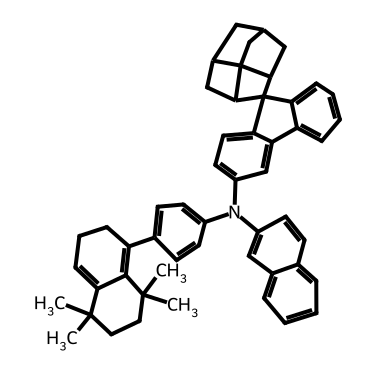 CC1(C)CCC(C)(C)C2=C(c3ccc(N(c4ccc5c(c4)-c4ccccc4C54C5CC6CC7CC4C75C6)c4ccc5ccccc5c4)cc3)CCC=C21